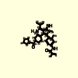 C=C(C)C(=O)Nc1ccc(C2=C(C3=CC[C@H](C(=O)N4CCCC4)CC3)/C(=C(\N)C(C)C)C(=N)N2C)c(C)c1